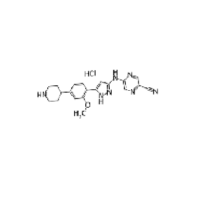 COc1cc(C2CCNCC2)ccc1-c1cc(Nc2cnc(C#N)cn2)n[nH]1.Cl